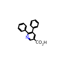 O=C(O)c1cnc(-c2ccccc2)c(-c2ccccc2)c1